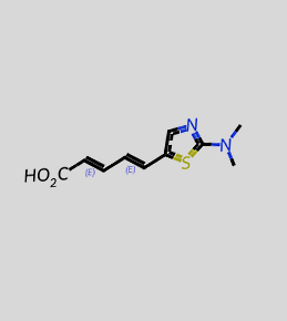 CN(C)c1ncc(/C=C/C=C/C(=O)O)s1